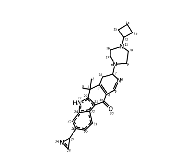 CC1(C)C2=C(C=NC(N3CCN(C4CCC4)CC3)C2)C(=O)c2c1[nH]c1cc(C3C=N3)ccc21